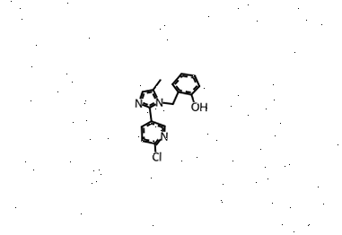 Cc1cnc(-c2ccc(Cl)nc2)n1Cc1ccccc1O